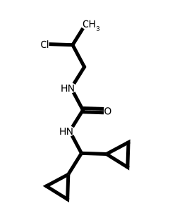 CC(Cl)CNC(=O)NC(C1CC1)C1CC1